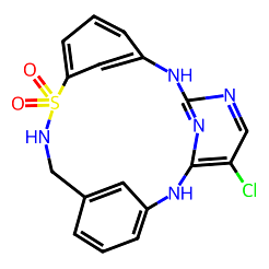 O=S1(=O)NCc2cccc(c2)Nc2nc(ncc2Cl)Nc2cccc1c2